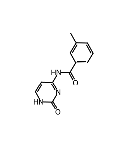 Cc1cccc(C(=O)Nc2cc[nH]c(=O)n2)c1